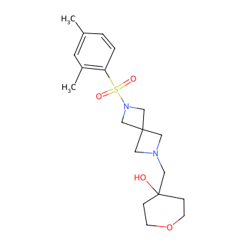 Cc1ccc(S(=O)(=O)N2CC3(CN(CC4(O)CCOCC4)C3)C2)c(C)c1